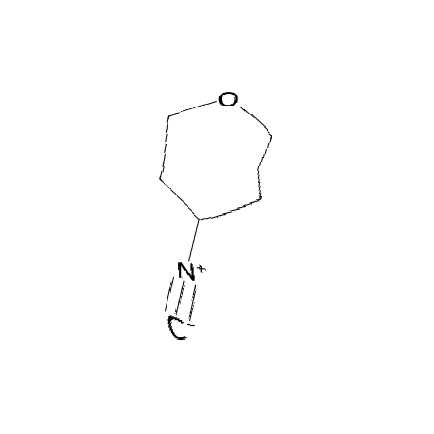 [C-]#[N+]C1CCOCC1